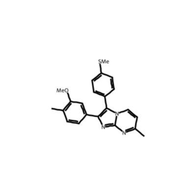 COc1cc(-c2nc3nc(C)ccn3c2-c2ccc(SC)cc2)ccc1C